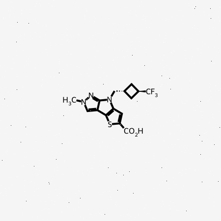 Cn1cc2c3sc(C(=O)O)cc3n(C[C@H]3C[C@H](C(F)(F)F)C3)c2n1